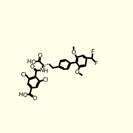 COc1cc(C(F)F)cc(OC)c1-c1ccc(CC[C@H](NC(=O)c2c(Cl)cc(C(=O)O)cc2Cl)C(=O)O)cc1